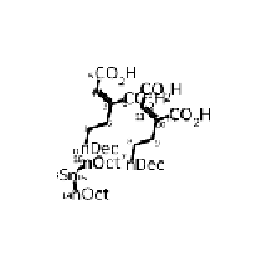 CCCCCCCCCCCC/C(=C/C(=O)O)C(=O)O.CCCCCCCCCCCC/C(=C/C(=O)O)C(=O)O.CCCCCCC[CH2][Sn][CH2]CCCCCCC